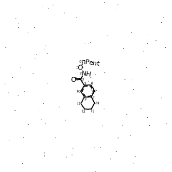 CCCCCONC(=O)c1ccc2c(c1)CCCC2